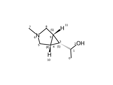 CC(O)[C@@H]1[C@@H]2CN(C)C[C@@H]21